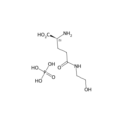 N[C@@H](CCC(=O)NCCO)C(=O)O.O=P(O)(O)O